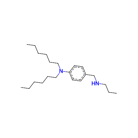 CCCCCCN(CCCCCC)c1ccc(CNCCC)cc1